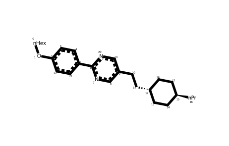 CCCCCCOc1ccc(-c2ncc(CC[C@H]3CC[C@H](CCC)CC3)cn2)cc1